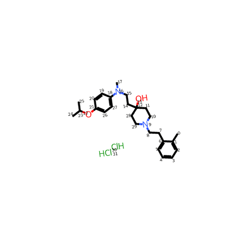 Cc1ccccc1CCN1CCC(O)(CCN(C)c2ccc(OC(C)C)cc2)CC1.Cl.Cl